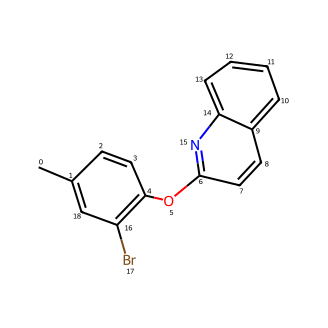 Cc1ccc(Oc2ccc3ccccc3n2)c(Br)c1